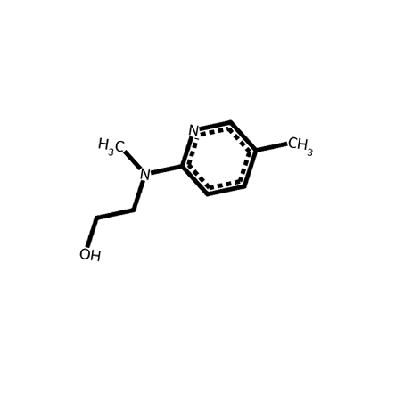 Cc1ccc(N(C)CCO)nc1